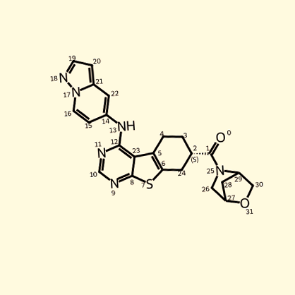 O=C([C@H]1CCc2c(sc3ncnc(Nc4ccn5nccc5c4)c23)C1)N1CC2CC1CO2